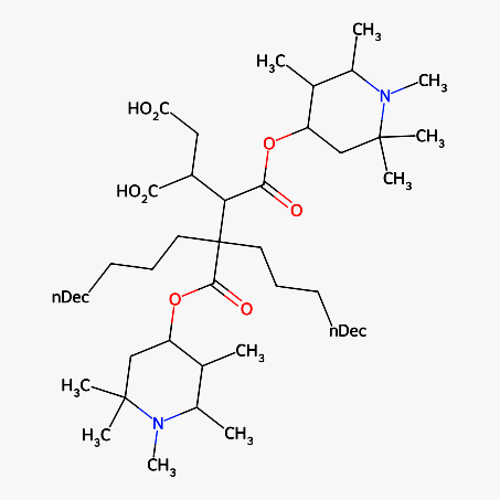 CCCCCCCCCCCCCC(CCCCCCCCCCCCC)(C(=O)OC1CC(C)(C)N(C)C(C)C1C)C(C(=O)OC1CC(C)(C)N(C)C(C)C1C)C(CC(=O)O)C(=O)O